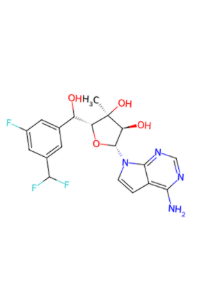 C[C@@]1(O)[C@@H](C(O)c2cc(F)cc(C(F)F)c2)O[C@@H](n2ccc3c(N)ncnc32)[C@@H]1O